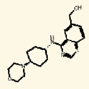 OCc1ccc2ncnc(N[C@H]3CC[C@H](N4CCOCC4)CC3)c2c1